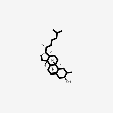 CC(C)CCC[C@@H](C)[C@H]1CC[C@H]2[C@@H]3CC=C4C[C@H](O)C(C)C[C@]4(C)[C@H]3CC[C@]12C